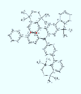 CC1(C)CCC(C)(C)c2c(-c3ccc(N(c4ccc(-c5ccccc5)cc4)c4cc5c(cc4-c4cccc6c4C(C)(C)CCC6(C)C)-c4ccccc4C5(C)C)cc3)cccc21